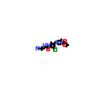 Cc1c(CN2CCN(C(=O)OC(C)(C)C)C(C)C2)cc(Cl)cc1NC(=O)CCC(C)(C)C#N